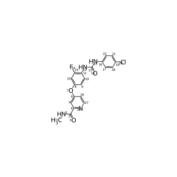 CNC(=O)c1cc(Oc2ccc(NC(=O)Nc3ccc(Cl)cc3)c(F)c2)ccn1